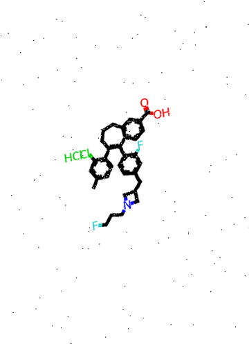 Cc1ccc(C2=C(c3ccc(CC4CN(CCCF)C4)cc3F)c3ccc(C(=O)O)cc3CCC2)c(Cl)c1.Cl